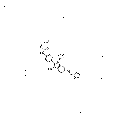 CC(OC(=O)Nc1ccc(-c2c(N)c3ccc(OCc4ncco4)cc3n2C2CCC2)cc1)C1CC1